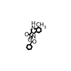 Cc1cccc2c3nn(OC(=O)c4ccccc4)c(=O)c-3c[nH]c12